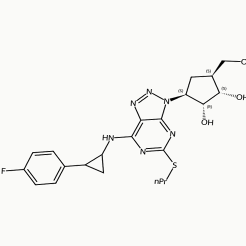 CCCSc1nc(NC2CC2c2ccc(F)cc2)c2nnn([C@H]3C[C@@H](CO)[C@H](O)[C@@H]3O)c2n1